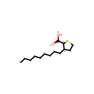 CCCCCCCCCC1CCSC1C(=O)O